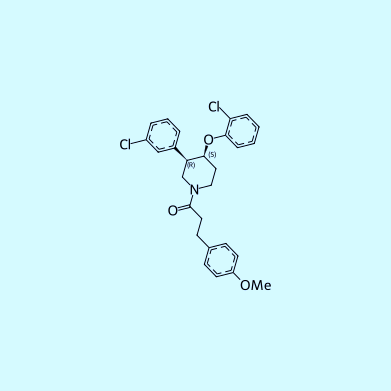 COc1ccc(CCC(=O)N2CC[C@H](Oc3ccccc3Cl)[C@H](c3cccc(Cl)c3)C2)cc1